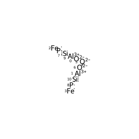 [Al+3].[Al+3].[Fe].[Fe].[O-2].[O-2].[O-2].[P].[P].[Si].[Si]